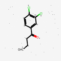 O=CCCC(=O)c1ccc(Cl)c(Cl)c1